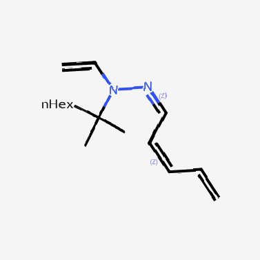 C=C/C=C\C=N/N(C=C)C(C)(C)CCCCCC